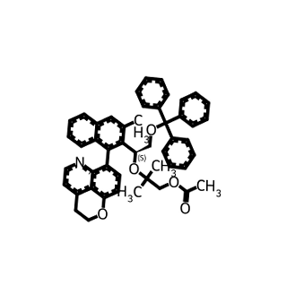 CC(=O)OCC(C)(C)O[C@H](COC(c1ccccc1)(c1ccccc1)c1ccccc1)c1c(C)cc2ccccc2c1-c1ccc2c3c(ccnc13)CCO2